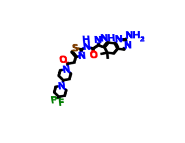 CC1(C)Cc2cnc(N)nc2-c2[nH]nc(C(=O)Nc3nc(CC(=O)N4CCC(N5CCC(F)(F)CC5)CC4)cs3)c21